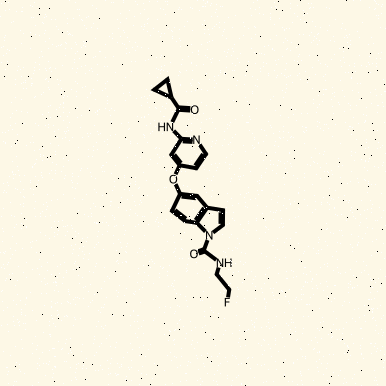 O=C(Nc1cc(Oc2ccc3c(ccn3C(=O)NCCF)c2)ccn1)C1CC1